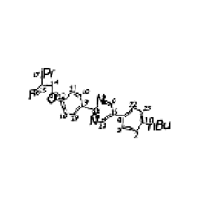 CCCCc1ccc(-c2cnc(-c3ccc(OCC(F)C(C)C)cc3)nc2)cc1